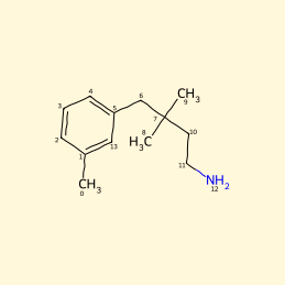 Cc1cccc(CC(C)(C)CCN)c1